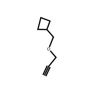 C#CCOC[C]1CCC1